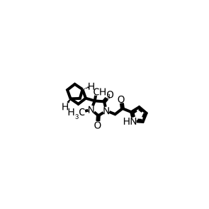 CN1C(=O)N(CC(=O)c2ccc[nH]2)C(=O)C1(C)C1C[C@@H]2CC[C@@H]1C2